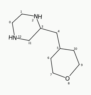 C1CNC(CC2CCOCC2)CN1